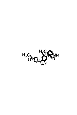 C=CC(=O)N1CCN(c2ncnc3c2C[C@@H](C)[C@H](c2c(C)ccc4[nH]ncc24)C3)CC1